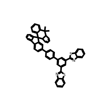 CC1(C)c2ccccc2C2(c3ccccc3-c3ccc(-c4ccc(-c5cc(-c6nc7ccccc7s6)cc(-c6nc7ccccc7s6)c5)cc4)cc32)C2C=CC=CC21